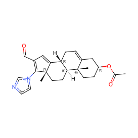 CC(=O)O[C@H]1CC[C@@]2(C)C(=CC[C@H]3C4=CC(C=O)=C(n5ccnc5)[C@@]4(C)CC[C@@H]32)C1